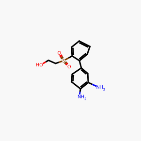 Nc1ccc(-c2ccccc2S(=O)(=O)CCO)cc1N